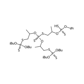 CC(C)COP(=S)(OCC(C)C)SCC(C)OP(=S)(OC(C)CSP(=S)(OCC(C)C)OCC(C)C)SCC(C)OP(=S)(S)OC(C)C